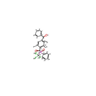 Cc1cc(C(=O)c2ccccc2)c(C)c(C)c1C(=O)P(=O)(c1ccccc1)C(F)(F)F